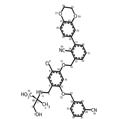 C[C@](CO)(NCc1cc(Cl)c(OCc2cccc(-c3ccc4c(c3)OCCO4)c2C#N)cc1OCc1cccc(C#N)c1)C(=O)O